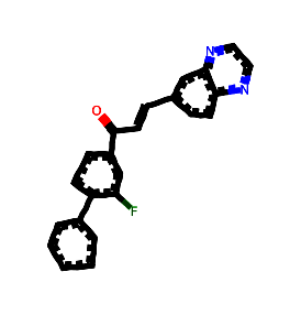 O=C(/C=C/c1ccc2nccnc2c1)c1ccc(-c2ccccc2)c(F)c1